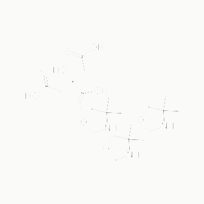 CC1(C)COCN1.CC1(C)COCN1.CC1(C)COCN1.O=C(O)CC(O)(CC(=O)O)C(=O)O